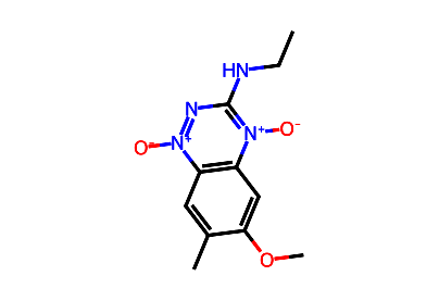 CCNc1n[n+]([O-])c2cc(C)c(OC)cc2[n+]1[O-]